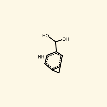 N.OC(O)c1ccc2c(c1)C2